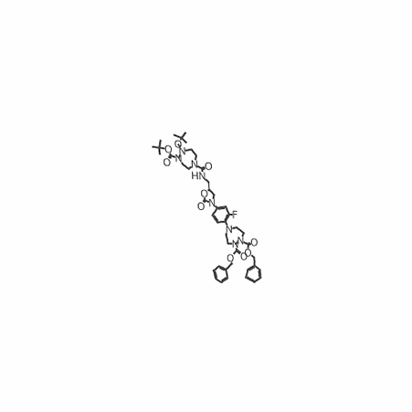 CC(C)(C)OC(=O)N1CCN(C(=O)NC[C@H]2CN(c3ccc(N4CCN(C(=O)OCc5ccccc5)N(C(=O)OCc5ccccc5)CC4)c(F)c3)C(=O)O2)CCN1OC(C)(C)C